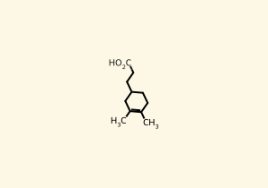 CC1=C(C)CC(CCC(=O)O)CC1